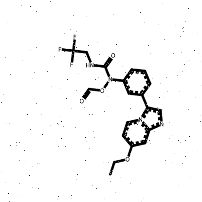 CCOc1ccn2c(-c3cccc(N(OC=O)C(=O)NCC(F)(F)F)c3)cnc2c1